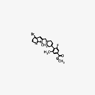 COC(=O)c1cc(C)c(C2=CCN(Cc3cc4c(Br)ccnc4n3C)CC2)c(F)c1